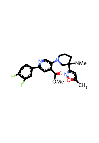 CNC1(c2cc(C)on2)CCCN(c2cnc(-c3ccc(F)c(F)c3)cc2C(=O)OC)C1